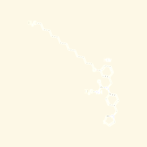 Br.CCCCCCCCCCCCCCOc1cccc(CN(C(=O)NC)c2ccc(CN3C=CSC3)cc2)c1